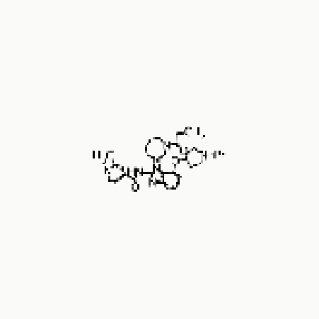 C=CC(=O)N1CCCC[C@@H](n2c(NC(=O)c3ccnc(C)c3)nc3cccc(OC4CCN(C(C)C)CC4)c32)C1